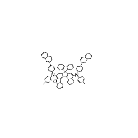 Cc1ccc(N(c2ccc(-c3ccc4ccccc4c3)cc2)c2cc3c(c4ccccc24)-c2c(cc(N(c4ccc(C)cc4)c4ccc(-c5ccc6ccccc6c5)cc4)c4oc5ccccc5c24)C3(c2ccccc2)c2ccccc2)cc1